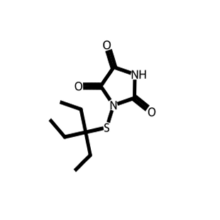 CCC(CC)(CC)SN1C(=O)NC(=O)C1=O